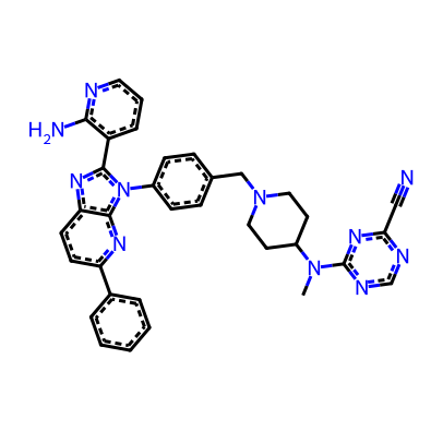 CN(c1ncnc(C#N)n1)C1CCN(Cc2ccc(-n3c(-c4cccnc4N)nc4ccc(-c5ccccc5)nc43)cc2)CC1